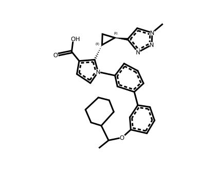 CC(Oc1cccc(-c2cccc(-n3ccc(C(=O)O)c3[C@@H]3C[C@H]3c3cn(C)nn3)c2)c1)C1CCCCC1